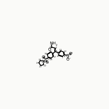 NC(=O)C=C(c1ccc([N+](=O)[O-])cc1)c1ccc(S(=O)(=O)N2CCCC2)cc1